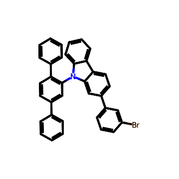 Brc1cccc(-c2ccc3c4ccccc4n(-c4cc(-c5ccccc5)ccc4-c4ccccc4)c3c2)c1